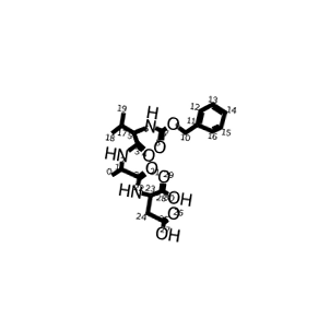 CC(NC(=O)C(NC(=O)OCc1ccccc1)C(C)C)C(=O)NC(CC(=O)O)C(=O)O